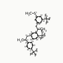 CSc1cc(CC(C)c2cc(CC(C)c3ccc(C(F)(F)F)cc3)ccc2C(F)(F)F)cc(C(F)(F)F)c1